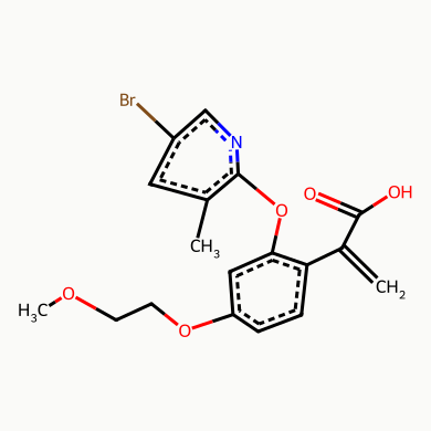 C=C(C(=O)O)c1ccc(OCCOC)cc1Oc1ncc(Br)cc1C